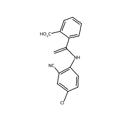 C=C(Nc1ccc(Cl)cc1C#N)c1ccccc1C(=O)O